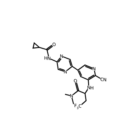 CN(C)C(=O)C(CC(F)(F)F)Nc1cc(-c2cnc(NC(=O)C3CC3)cn2)cnc1C#N